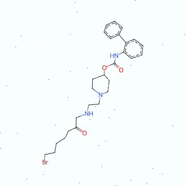 O=C(CCCCCBr)CNCCN1CCC(OC(=O)Nc2ccccc2-c2ccccc2)CC1